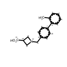 Cc1ccccc1-c1ccc(CN2CC(C(=O)O)C2)cc1